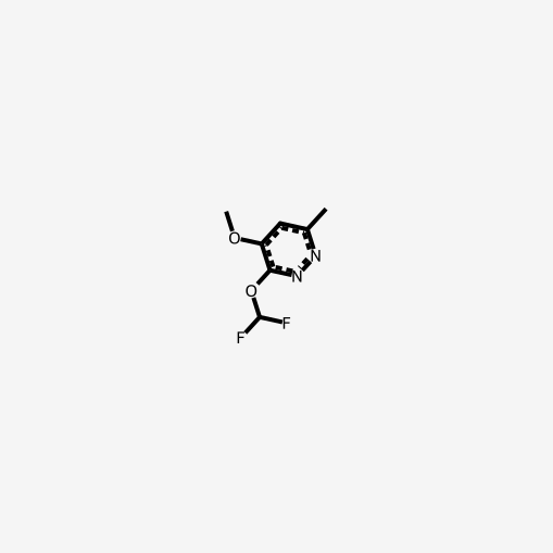 COc1cc(C)nnc1OC(F)F